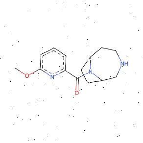 COc1cccc(C(=O)N2C3CCNCC2CC3)n1